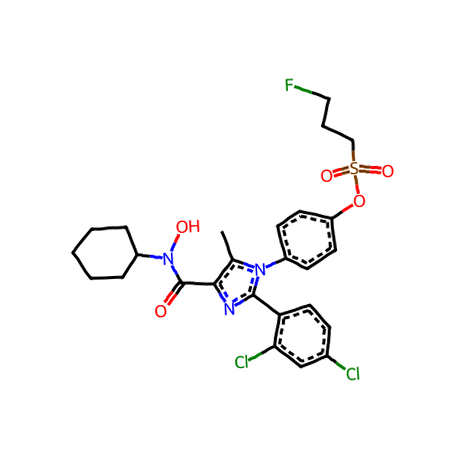 Cc1c(C(=O)N(O)C2CCCCC2)nc(-c2ccc(Cl)cc2Cl)n1-c1ccc(OS(=O)(=O)CCCF)cc1